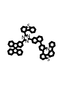 c1ccc2c(c1)-c1ccccc1C21c2ccccc2-c2cc(-c3nc(-c4ccc5c(-c6ccc7c8cccc9sc%10ccc%11c%12ccccc%12n(c7c6)c%11c%10c98)cccc5c4)nc(-c4cccc5sc6ccccc6c45)n3)ccc21